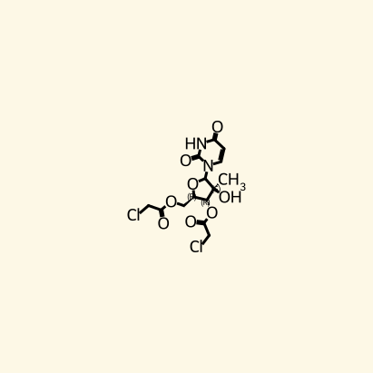 C[C@@]1(O)C(n2ccc(=O)[nH]c2=O)O[C@H](COC(=O)CCl)[C@H]1OC(=O)CCl